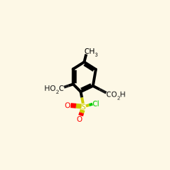 Cc1cc(C(=O)O)c(S(=O)(=O)Cl)c(C(=O)O)c1